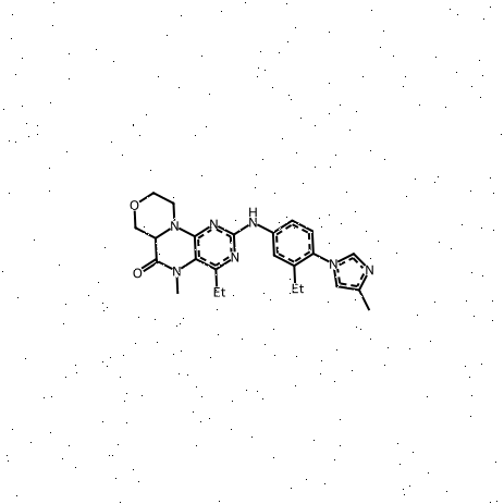 CCc1cc(Nc2nc(CC)c3c(n2)N2CCOCC2C(=O)N3C)ccc1-n1cnc(C)c1